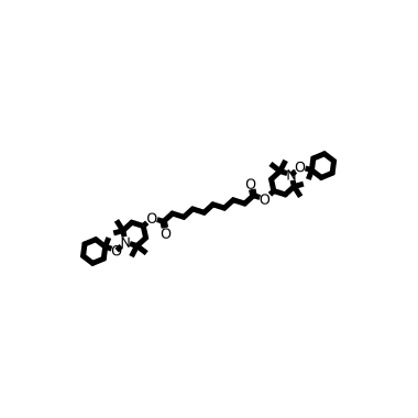 CC1(ON2C(C)(C)CC(OC(=O)CCCCCCCCC(=O)OC3CC(C)(C)N(OC4(C)CCCCC4)C(C)(C)C3)CC2(C)C)CCCCC1